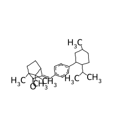 CC1CCC(C(C)C)C(c2ccc(C=C3C(=O)C4(C)CCC3C4(C)C)cc2)C1